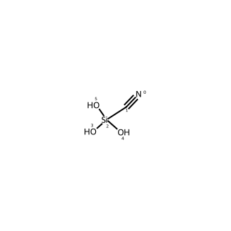 N#C[Si](O)(O)O